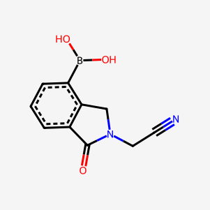 N#CCN1Cc2c(B(O)O)cccc2C1=O